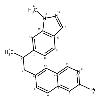 CC(C)c1cc2ccc(CC(C)c3ccc4cnn(C)c4c3)cc2cn1